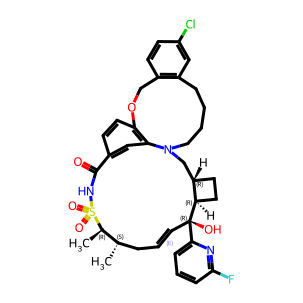 C[C@@H]1[C@@H](C)C/C=C/[C@@](O)(c2cccc(F)n2)[C@@H]2CC[C@H]2CN2CCCCc3cc(Cl)ccc3COc3ccc(cc32)C(=O)NS1(=O)=O